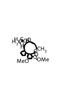 COCOc1cc(OC)cc2c1C(=O)O[C@@H](C)C/C=C\C(=O)[C@@H]1OC(C)(C)O[C@@H]1Cc1ccccc1-2